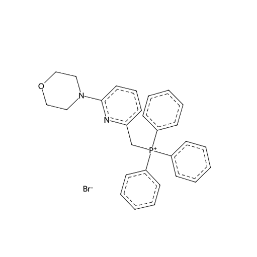 [Br-].c1ccc([P+](Cc2cccc(N3CCOCC3)n2)(c2ccccc2)c2ccccc2)cc1